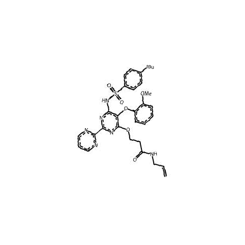 C=CCNC(=O)CCOc1nc(-c2ncccn2)nc(NS(=O)(=O)c2ccc(C(C)(C)C)cc2)c1Oc1ccccc1OC